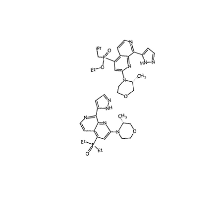 CCOP(=O)(CC(C)C)c1cc(N2CCOC[C@H]2C)nc2c(-c3ccn[nH]3)nccc12.CCP(=O)(CC)c1cc(N2CCOC[C@H]2C)nc2c(-c3ccn[nH]3)nccc12